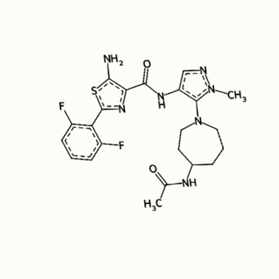 CC(=O)NC1CCCN(c2c(NC(=O)c3nc(-c4c(F)cccc4F)sc3N)cnn2C)CC1